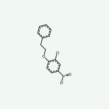 O=[N+]([O-])c1ccc(OCCc2ccccc2)c(Cl)c1